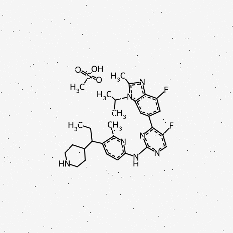 CCC(c1ccc(Nc2ncc(F)c(-c3cc(F)c4nc(C)n(C(C)C)c4c3)n2)nc1C)C1CCNCC1.CS(=O)(=O)O